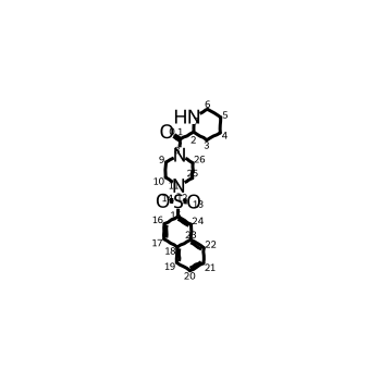 O=C(C1CCCCN1)N1CCN(S(=O)(=O)c2ccc3ccccc3c2)CC1